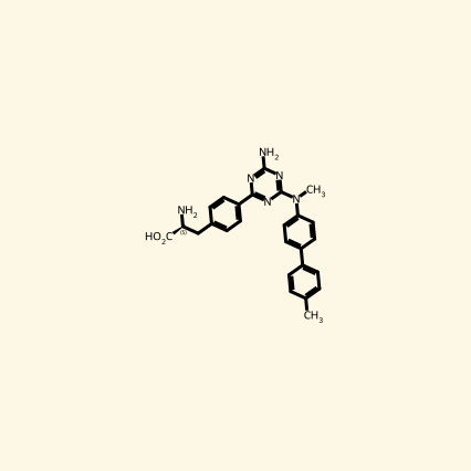 Cc1ccc(-c2ccc(N(C)c3nc(N)nc(-c4ccc(C[C@H](N)C(=O)O)cc4)n3)cc2)cc1